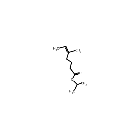 CC=C(C)CCCC(=O)OC(C)C